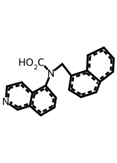 O=C(O)N(Cc1cccc2ccccc12)c1cccc2cnccc12